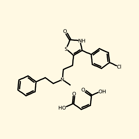 CN(CCc1ccccc1)CCc1sc(=O)[nH]c1-c1ccc(Cl)cc1.O=C(O)/C=C\C(=O)O